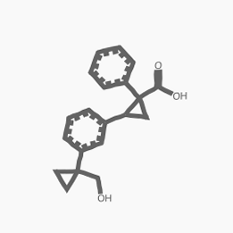 O=C(O)C1(c2ccccc2)CC1c1cccc(C2(CO)CC2)c1